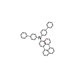 c1ccc(-c2ccc(N(c3ccc(-c4ccccc4)cc3)c3ccc(-c4cccc5cccc(-c6ccccc6)c45)cc3)cc2)cc1